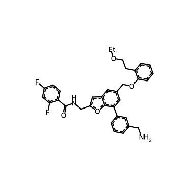 CCOCCc1ccccc1OCc1cc(-c2cccc(CN)c2)c2oc(CNC(=O)c3ccc(F)cc3F)cc2c1